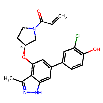 C=CC(=O)N1CC[C@H](Oc2cc(-c3ccc(O)c(Cl)c3)cc3[nH]nc(C)c23)C1